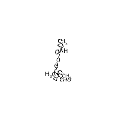 Cc1ccc(NC(=O)CCOCCOCCN(C)C(=O)C(C(C)C=O)C2CCC2)cc1